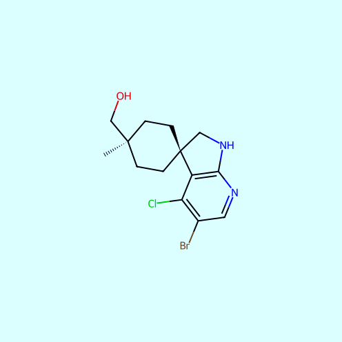 C[C@]1(CO)CC[C@@]2(CC1)CNc1ncc(Br)c(Cl)c12